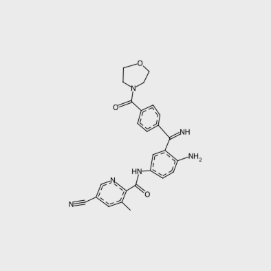 Cc1cc(C#N)cnc1C(=O)Nc1ccc(N)c(C(=N)c2ccc(C(=O)N3CCOCC3)cc2)c1